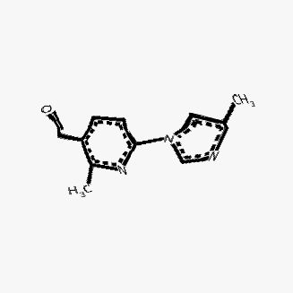 Cc1cn(-c2ccc(C=O)c(C)n2)cn1